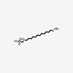 CCCCOCCCCCCCCCCCCOOP(=O)(O)O